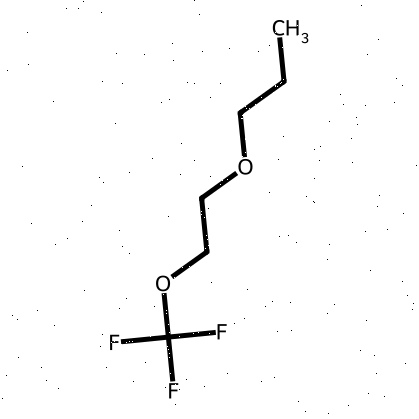 CCCOCCOC(F)(F)F